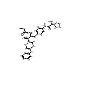 CCC(=O)NC(Cc1ccc(NC(=O)C(N)C2CCCC2)cc1)C(=O)N1CCN(Cc2ccccc2)CC1